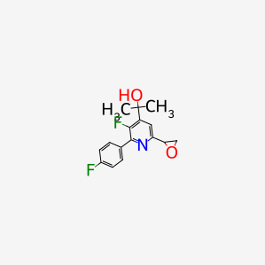 CC(C)(O)c1cc(C2CO2)nc(-c2ccc(F)cc2)c1F